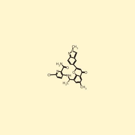 Cc1cc([C@@H](C)Nc2ccc(Cl)nc2C(N)=O)c2oc(-c3ccc4nn(C)cc4c3)cc(=O)c2c1